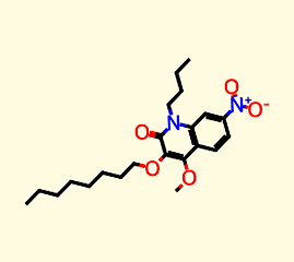 CCCCCCCCOc1c(OC)c2ccc([N+](=O)[O-])cc2n(CCCC)c1=O